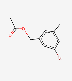 CC(=O)OCc1cc(C)cc(Br)c1